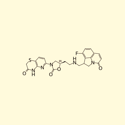 O=C1CSc2ccc(N3C[C@@H](CCNCC4Cn5c(=O)ccc6ccc(F)c4c65)OC3=O)nc2N1